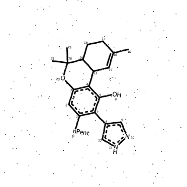 CCCCCc1cc2c(c(O)c1-c1cn[nH]c1)C1C=C(C)CCC1C(C)(C)O2